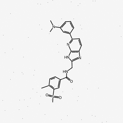 Cc1ccc(C(=O)NCc2nc3ccc(-c4cccc(N(C)C)c4)nc3[nH]2)cc1S(C)(=O)=O